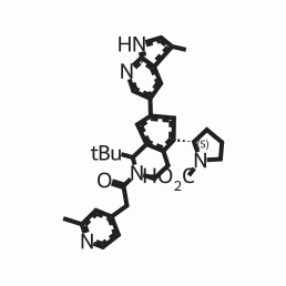 Cc1cc(CC(=O)N2CCc3c(cc(-c4cnc5[nH]cc(C)c5c4)cc3[C@@H]3CCCN3C(=O)O)C2C(C)(C)C)ccn1